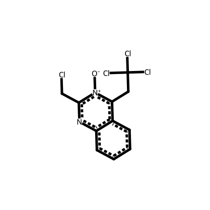 [O-][n+]1c(CCl)nc2ccccc2c1CC(Cl)(Cl)Cl